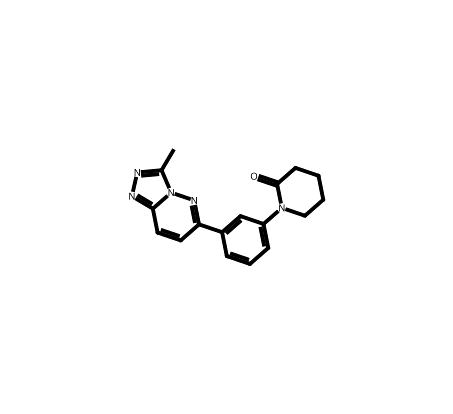 Cc1nnc2ccc(-c3cccc(N4CCCCC4=O)c3)nn12